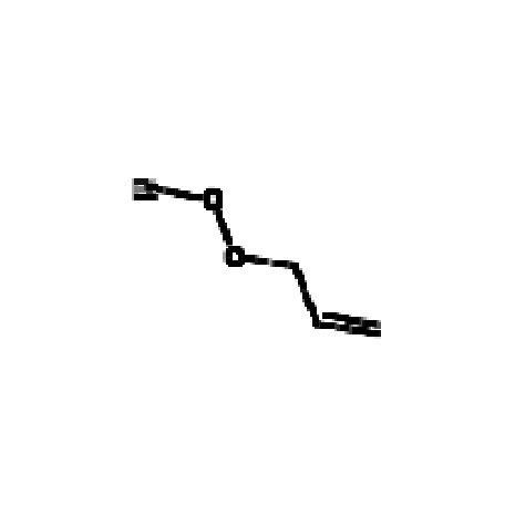 C=CCOOCC